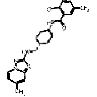 Bc1ccn2nc(NC[C@H]3CC[C@H](NC(=O)c4cc(C(F)(F)F)ccc4Cl)CC3)nc2c1